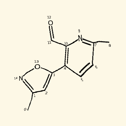 Cc1cc(-c2ccc(C)nc2C=O)on1